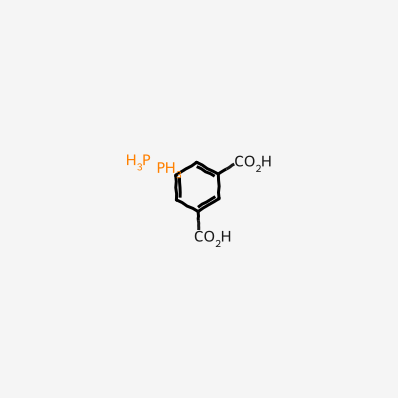 O=C(O)c1cccc(C(=O)O)c1.P.P